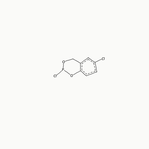 Clc1ccc2c(c1)COP(Cl)O2